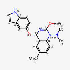 CCCOC1=NC(Oc2ccc3[nH]ccc3c2)c2cc(OC)ccc2N1N(CC)CC